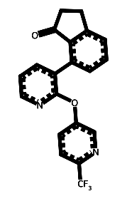 O=C1CCc2cccc(-c3cccnc3Oc3ccc(C(F)(F)F)nc3)c21